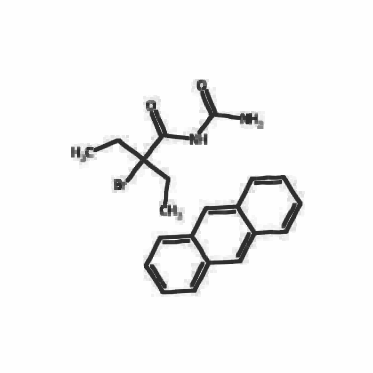 CCC(Br)(CC)C(=O)NC(N)=O.c1ccc2cc3ccccc3cc2c1